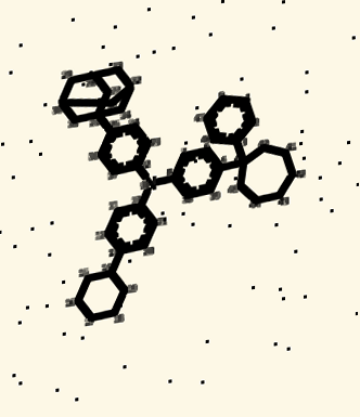 c1ccc(C2(c3ccc(N(c4ccc(C5CCCCC5)cc4)c4ccc(C56CC7CC(CC(C7)C5)C6)cc4)cc3)CCCCCC2)cc1